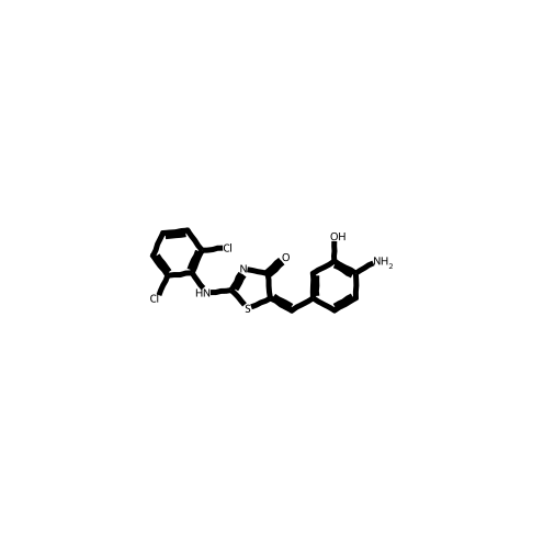 Nc1ccc(C=C2SC(Nc3c(Cl)cccc3Cl)=NC2=O)cc1O